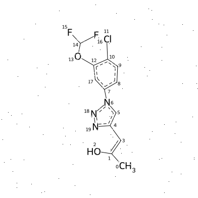 CC(O)=Cc1cn(-c2ccc(Cl)c(OC(F)F)c2)nn1